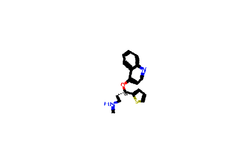 CNCC[C@H](Oc1ccnc2ccccc12)c1cccs1